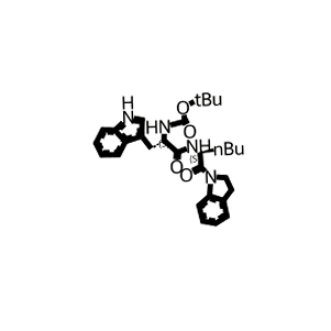 CCCC[C@H](NC(=O)[C@H](Cc1c[nH]c2ccccc12)NC(=O)OC(C)(C)C)C(=O)N1CCc2ccccc21